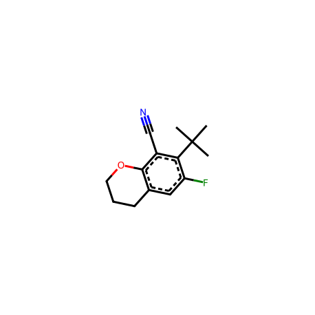 CC(C)(C)c1c(F)cc2c(c1C#N)OCCC2